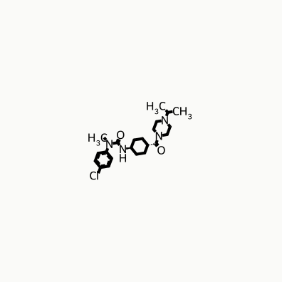 CC(C)N1CCN(C(=O)[C@H]2CC[C@H](NC(=O)N(C)c3ccc(Cl)cc3)CC2)CC1